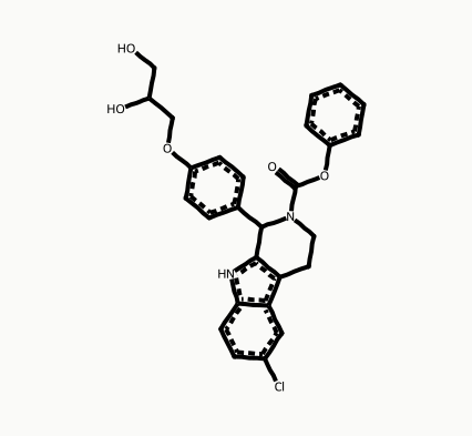 O=C(Oc1ccccc1)N1CCc2c([nH]c3ccc(Cl)cc23)C1c1ccc(OCC(O)CO)cc1